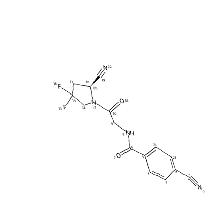 N#Cc1ccc(C(=O)NCC(=O)N2CC(F)(F)C[C@H]2C#N)cc1